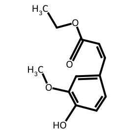 CCOC(=O)/C=C\c1ccc(O)c(OC)c1